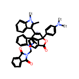 CCN(CC)c1ccc(C2(/C=C(/c3c(C)n(CC)c4ccccc34)c3c(C)n(CN4C(=O)c5ccccc5C4=O)c4ccccc34)OC(=O)c3ccccc32)cc1